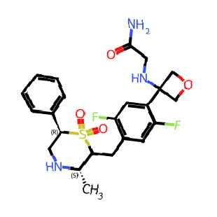 C[C@@H]1NC[C@@H](c2ccccc2)S(=O)(=O)C1Cc1cc(F)c(C2(NCC(N)=O)COC2)cc1F